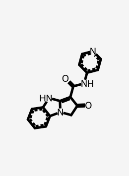 O=C1CN2C(=C1C(=O)Nc1ccncc1)Nc1ccccc12